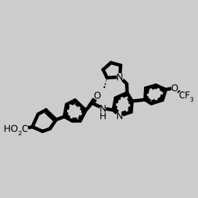 C[C@@H]1CCCN1Cc1cc(NC(=O)c2ccc(C3=CCC(C(=O)O)CC3)cc2)ncc1-c1ccc(OC(F)(F)F)cc1